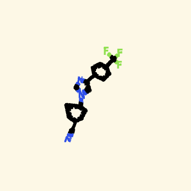 N#Cc1ccc(-n2cnc(-c3ccc(C(F)(F)F)cc3)c2)cc1